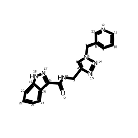 O=C(NCc1cn(Cc2cccnc2)nn1)c1n[nH]c2ccccc12